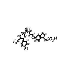 CCc1ccc(-c2nc(N(C)CCCOc3ccc4c(c3)CC[C@H]4CC(=O)O)ncc2C(F)(F)F)cc1